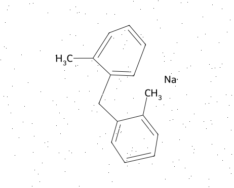 Cc1ccccc1Cc1ccccc1C.[Na]